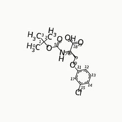 CC(C)(C)OC(=O)N[C@H](COc1cccc(Cl)c1)C(=O)O